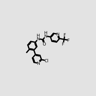 Cc1ccc(NC(=O)Nc2ccc(C(F)(F)F)nc2)cc1-c1ccnc(Cl)c1